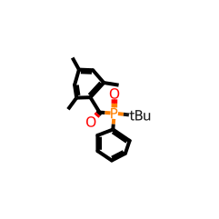 Cc1cc(C)c(C(=O)P(=O)(c2ccccc2)C(C)(C)C)c(C)c1